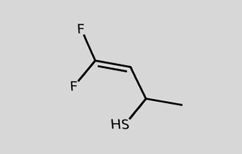 CC(S)C=C(F)F